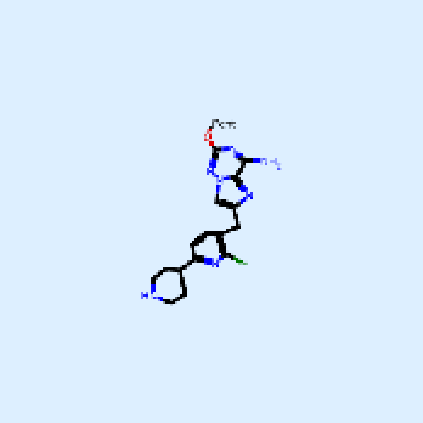 CCCC(C)Oc1nc(N)c2nc(Cc3ccc(C4CCNCC4)nc3F)cn2n1